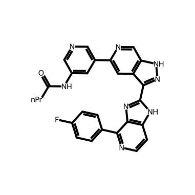 CCCC(=O)Nc1cncc(-c2cc3c(-c4nc5c(-c6ccc(F)cc6)nccc5[nH]4)n[nH]c3cn2)c1